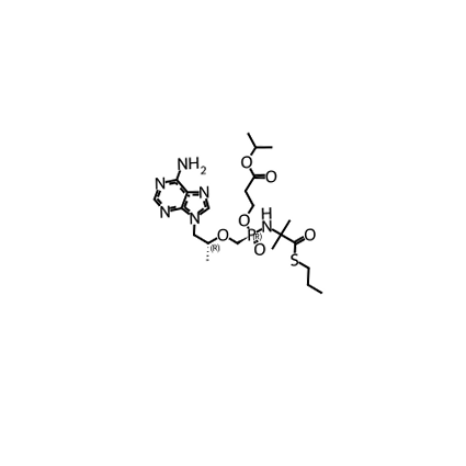 CCCSC(=O)C(C)(C)N[P@@](=O)(CO[C@H](C)Cn1cnc2c(N)ncnc21)OCCC(=O)OC(C)C